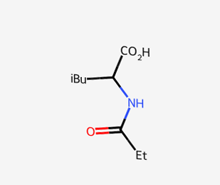 CCC(=O)NC(C(=O)O)C(C)CC